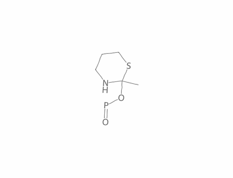 CC1(OP=O)NCCCS1